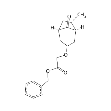 C[C@H]1C[C@@H]2C[C@@H](OCC(=O)OCc3ccccc3)C[C@H]1C2=O